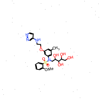 COc1ccccc1S(=O)(=O)N(CC(O)C(O)C(O)CO)c1cc(C)cc(OCCNc2ccnnc2)c1